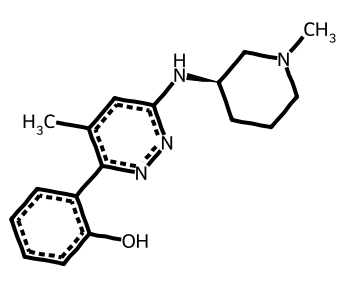 Cc1cc(N[C@@H]2CCCN(C)C2)nnc1-c1ccccc1O